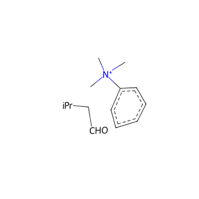 CC(C)CC=O.C[N+](C)(C)c1ccccc1